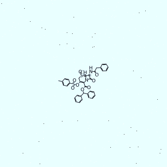 Cc1ccc(S(=O)(=O)OC2=C(C(=O)OC(c3ccccc3)c3ccccc3)N3C(=O)[C@@H](NC(=O)Cc4ccccc4)[C@H]3[S+]([O-])C2)cc1